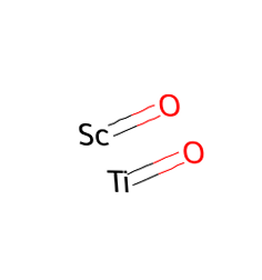 [O]=[Sc].[O]=[Ti]